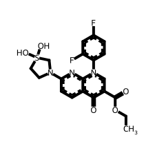 CCOC(=O)c1cn(-c2ccc(F)cc2F)c2nc(N3CCS(O)(O)C3)ccc2c1=O